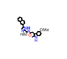 [CH2]CCC[C@H](NC(=O)Cc1c(C)[nH]c2ccc(OC)cc12)c1ncc(-c2ccc3ccccc3c2)[nH]1